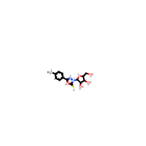 Cc1ccc(-c2nn(C3OC(CO)C(O)C3O)c(=S)o2)cc1